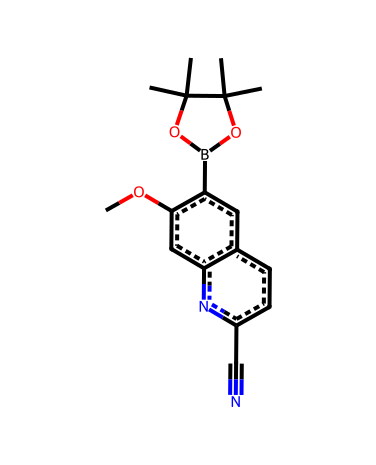 COc1cc2nc(C#N)ccc2cc1B1OC(C)(C)C(C)(C)O1